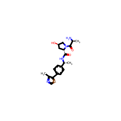 Cc1ncsc1-c1ccc([C@@H](C)NC(=O)[C@@H]2C[C@@H](O)CN2C(=O)[C@H](C)N)cc1